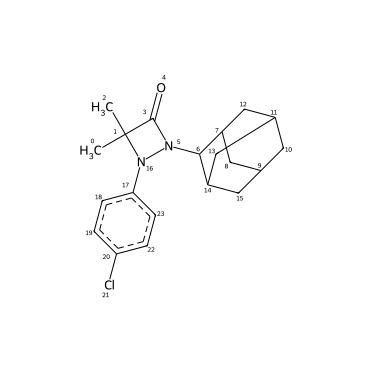 CC1(C)C(=O)N(C2C3CC4CC(C3)CC2C4)N1c1ccc(Cl)cc1